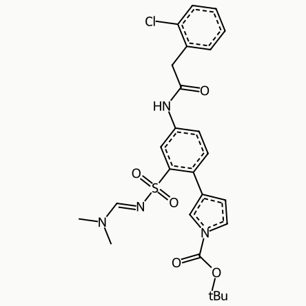 CN(C)C=NS(=O)(=O)c1cc(NC(=O)Cc2ccccc2Cl)ccc1-c1ccn(C(=O)OC(C)(C)C)c1